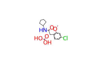 COc1cc(Cl)ccc1CC(=O)NC1CCCC1.O=C(O)O